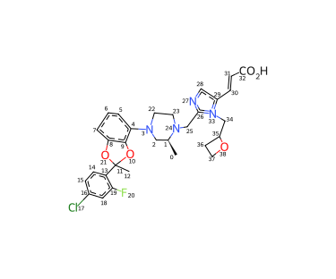 C[C@H]1CN(c2cccc3c2OC(C)(c2ccc(Cl)cc2F)O3)CCN1Cc1ncc(/C=C/C(=O)O)n1CC1CCO1